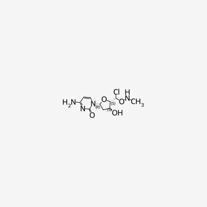 CNOC(Cl)[C@H]1O[C@@H](n2ccc(N)nc2=O)C[C@@H]1O